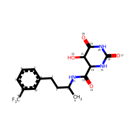 CC(CCc1cccc(C(F)(F)F)c1)NC(=O)C1NC(=O)NC(=O)C1O